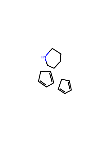 C1=CCC=C1.C1=CCC=C1.C1CCNCC1